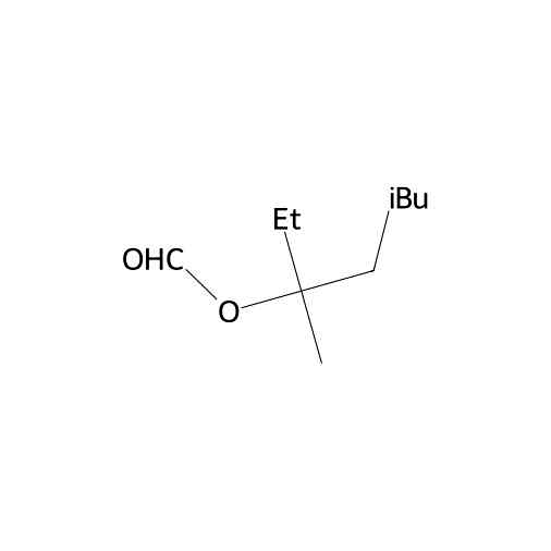 CCC(C)CC(C)(CC)OC=O